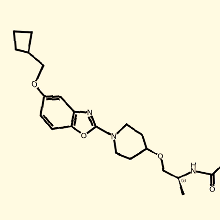 CC(=O)N[C@@H](C)COC1CCN(c2nc3cc(OCC4CCC4)ccc3o2)CC1